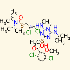 CC(C)N(C(=O)SC/C(Cl)=C/Cl)C(C)C.CNc1nc(NC(C)C)nc(SC)n1.COc1c(Cl)ccc(Cl)c1C(=O)O